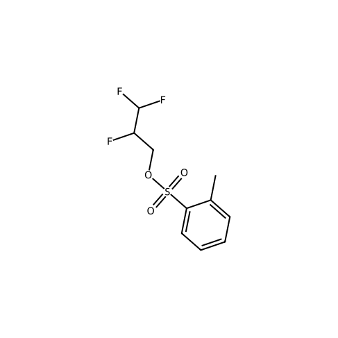 Cc1ccccc1S(=O)(=O)OCC(F)C(F)F